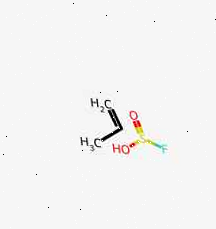 C=CC.O=S(O)F